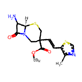 Cc1ncsc1C=CC1(C(=O)OC(C)(C)C)CS[C@@H]2C(N)C(=O)N2C1